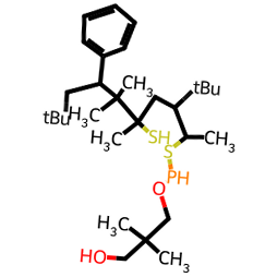 CC(SPOCC(C)(C)CO)C(CC(C)(S)C(C)(C)C(CC(C)(C)C)c1ccccc1)C(C)(C)C